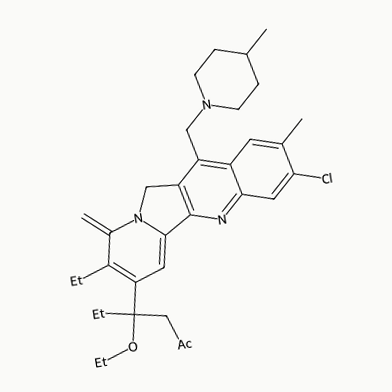 C=C1C(CC)=C(C(CC)(CC(C)=O)OCC)C=C2c3nc4cc(Cl)c(C)cc4c(CN4CCC(C)CC4)c3CN12